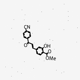 COC(=O)c1ccc(C=CC(=O)c2ccc(C#N)cc2)cc1O